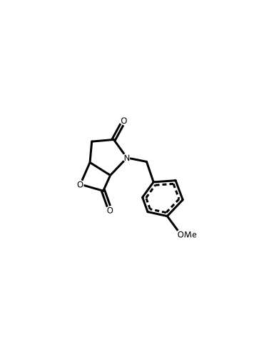 COc1ccc(CN2C(=O)CC3OC(=O)C32)cc1